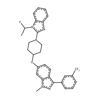 Cn1nc(-c2cccc(C(F)(F)F)c2)c2ccc(OC3CCN(c4nc5ccccc5n4C(F)F)CC3)cc21